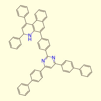 C1=C(c2ccccc2)c2c(c(-c3ccc(-c4nc(-c5ccc(-c6ccccc6)cc5)cc(-c5ccc(-c6ccccc6)cc5)n4)cc3)cc3ccccc23)NC1c1ccccc1